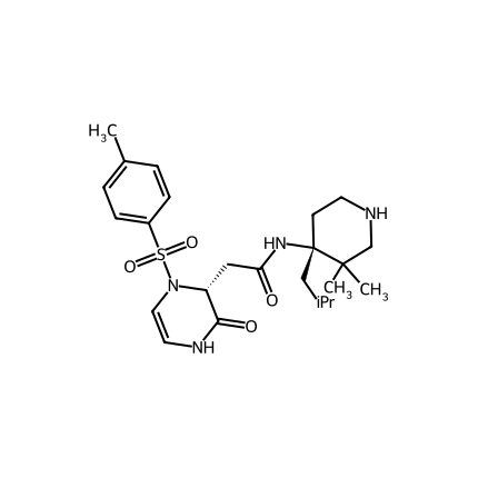 Cc1ccc(S(=O)(=O)N2C=CNC(=O)[C@H]2CC(=O)N[C@]2(CC(C)C)CCNCC2(C)C)cc1